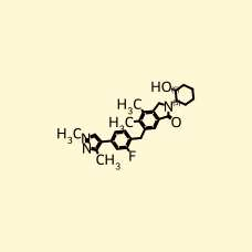 Cc1nn(C)cc1-c1ccc(Cc2cc3c(c(C)c2C)CN([C@H]2CCCC[C@@H]2O)C3=O)c(F)c1